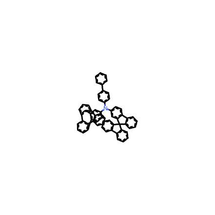 c1ccc(-c2ccc(N(c3ccc4c(c3)-c3c5cccc3-c3cccc-4c3-c3ccccc3-5)c3ccc4c(c3)C3(c5ccccc5-c5ccccc53)c3ccccc3-4)cc2)cc1